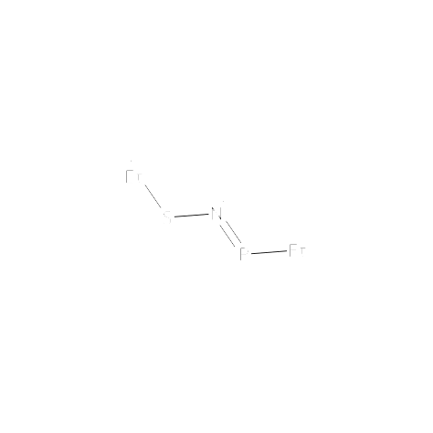 CCP=NSCC